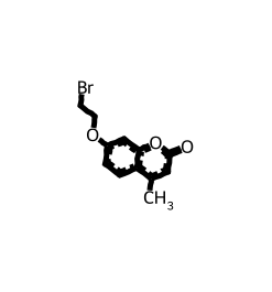 Cc1cc(=O)oc2cc(OCCBr)ccc12